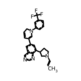 CC=CN1CCC(c2cc(C3=CN(c4cccc(C(F)(F)F)c4)CC=C3)cc3cncnc23)C1